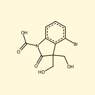 O=C(O)N1C(=O)C(CO)(CO)c2c(Br)cccc21